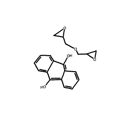 C(OCC1CO1)C1CO1.Oc1c2ccccc2c(O)c2ccccc12